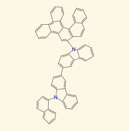 c1ccc2c(-n3c4ccccc4c4cc(-c5ccc6c(c5)c5ccccc5n6-c5cc6c7ccccc7c7ccccc7c6c6c5ccc5ccccc56)ccc43)cccc2c1